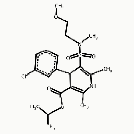 COCCN(C)S(=O)(=O)C1=C(C)NC(C)=C(C(=O)OC(C)C)C1c1cccc(Cl)c1